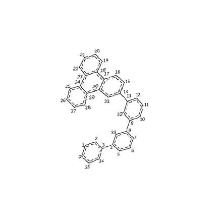 c1ccc(-c2cccc(-c3cccc(-c4ccc5c6ccccc6c6ccccc6c5c4)c3)c2)cc1